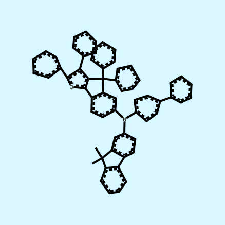 CC1(C)c2ccccc2-c2ccc(N(c3ccc(-c4ccccc4)cc3)c3ccc4c(c3)C(c3ccccc3)(c3ccccc3)c3c-4oc(-c4ccccc4)c3-c3ccccc3)cc21